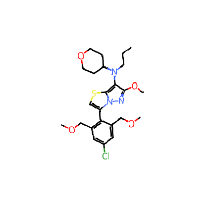 CCCN(c1c(OC)nn2c(-c3c(COC)cc(Cl)cc3COC)csc12)C1CCOCC1